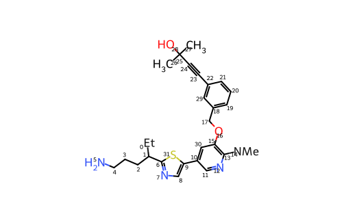 CCC(CCCN)c1ncc(-c2cnc(NC)c(OCc3cccc(C#CC(C)(C)O)c3)c2)s1